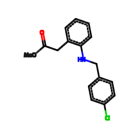 COC(=O)Cc1ccccc1NCc1ccc(Cl)cc1